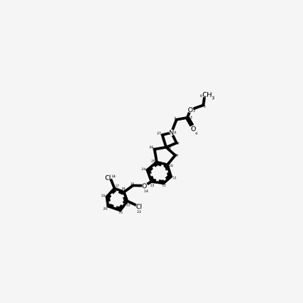 CCOC(=O)CN1CC2(Cc3ccc(OCc4c(Cl)cccc4Cl)cc3C2)C1